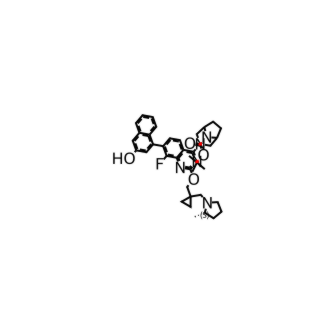 C[C@H]1CCCN1CC1(COc2nc(N3CC4CCC(C3)N4C(=O)OC(C)(C)C)c3ccc(-c4cc(O)cc5ccccc45)c(F)c3n2)CC1